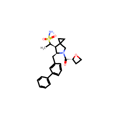 CC([C@@H]1[C@H](Cc2cccc(-c3ccccc3)c2)N(C(=O)[C@H]2CCO2)CC12CC2)S(N)(=O)=O